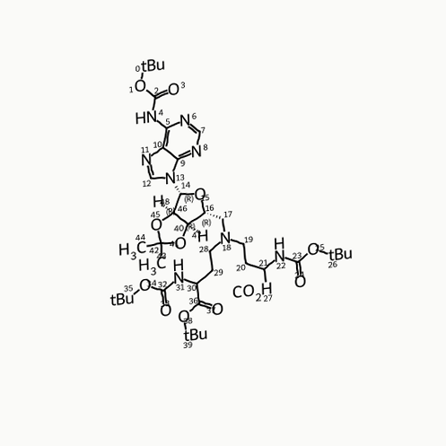 CC(C)(C)OC(=O)Nc1ncnc2c1ncn2[C@@H]1O[C@H](CN(CCC(NC(=O)OC(C)(C)C)C(=O)O)CCC(NC(=O)OC(C)(C)C)C(=O)OC(C)(C)C)[C@H]2OC(C)(C)O[C@H]21